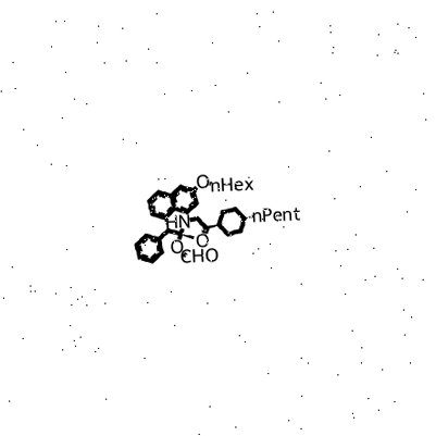 CCCCCCOc1ccc2c([C@@H](c3ccccc3)[C@](C)(NCC(=O)[C@H]3CC[C@H](CCCCC)CC3)OC=O)cccc2c1